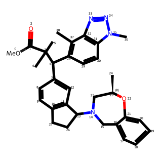 COC(=O)C(C)(C)C(c1ccc2c(c1)C(N1Cc3ccccc3O[C@H](C)C1)CC2)c1ccc2c(nnn2C)c1C